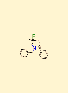 C[C@@]1(F)CC[C@H](c2ccccc2)N(Cc2ccccc2)C1